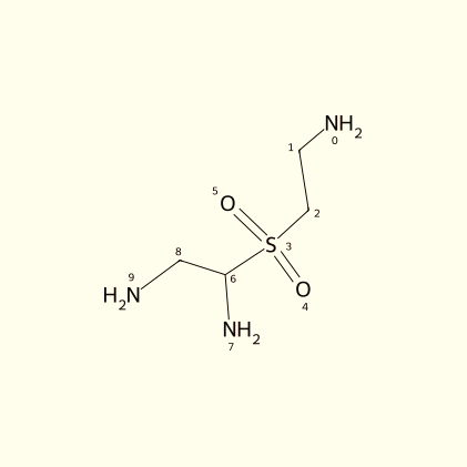 NCCS(=O)(=O)C(N)CN